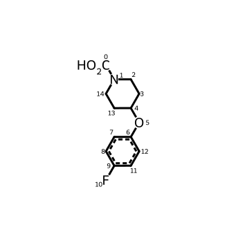 O=C(O)N1CCC(Oc2ccc(F)cc2)CC1